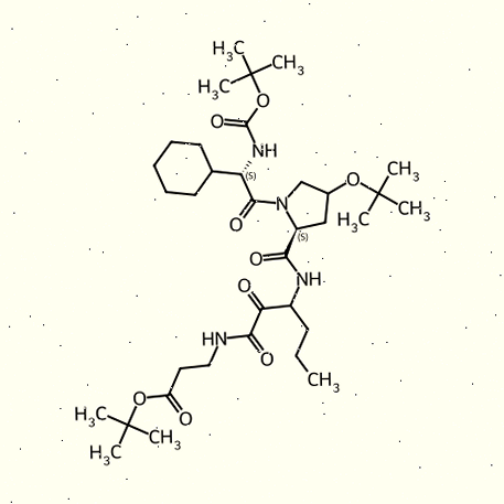 CCCC(NC(=O)[C@@H]1CC(OC(C)(C)C)CN1C(=O)[C@@H](NC(=O)OC(C)(C)C)C1CCCCC1)C(=O)C(=O)NCCC(=O)OC(C)(C)C